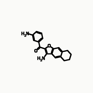 Nc1cccc(C(=O)c2oc3cc4c(cc3c2N)CCCC4)c1